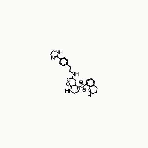 O=C(C[C@@H]1C(=O)NCCN1S(=O)(=O)c1cccc2c1NCCC2)NCCc1ccc(C2=NCCN2)cc1